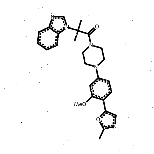 COc1cc(N2CCN(C(=O)C(C)(C)n3cnc4ccccc43)CC2)ccc1-c1cnc(C)o1